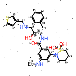 CCNc1cc(C(=O)N[C@@H](Cc2ccccc2)[C@@H](O)CNCc2ccsc2)cc(N2CCCCS2(O)O)c1